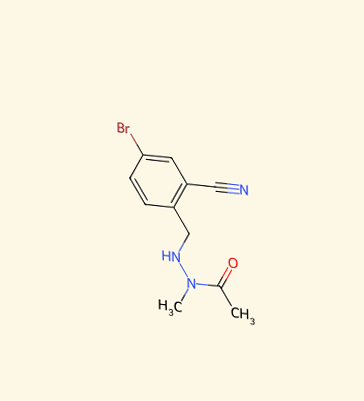 CC(=O)N(C)NCc1ccc(Br)cc1C#N